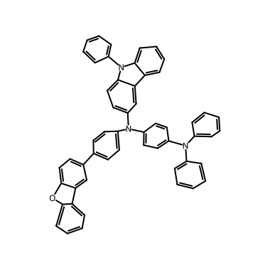 c1ccc(N(c2ccccc2)c2ccc(N(c3ccc(-c4ccc5oc6ccccc6c5c4)cc3)c3ccc4c(c3)c3ccccc3n4-c3ccccc3)cc2)cc1